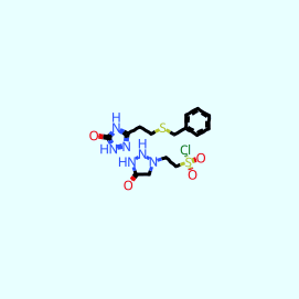 O=C1CN(CCS(=O)(=O)Cl)NN1.O=c1[nH]nc(CCSCc2ccccc2)[nH]1